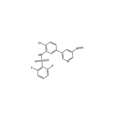 CC(=O)Nc1cncc(-c2ccc(Cl)c(NS(=O)(=O)c3c(F)cccc3F)c2)c1